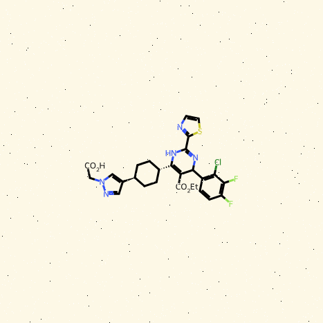 CCOC(=O)C1=C([C@H]2CC[C@H](c3cnn(CC(=O)O)c3)CC2)NC(c2nccs2)=NC1c1ccc(F)c(F)c1Cl